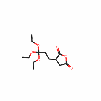 CCOC(CCC1CC(=O)OC1=O)(OCC)OCC